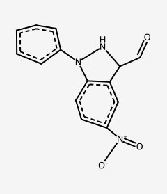 O=CC1NN(c2ccccc2)c2ccc([N+](=O)[O-])cc21